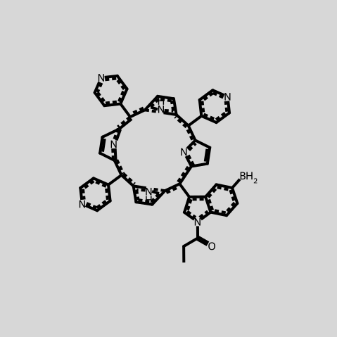 Bc1ccc2c(c1)c(-c1c3nc(c(-c4ccncc4)c4ccc([nH]4)c(-c4ccncc4)c4nc(c(-c5ccncc5)c5ccc1[nH]5)C=C4)C=C3)cn2C(=O)CC